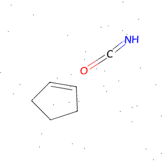 C1=CCCC1.N=C=O